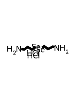 Cl.Cl.NCCC[Se][Se]CCCN